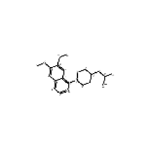 COc1cc2ncnc(N3CCC(CC(C)O)CC3)c2cc1OC